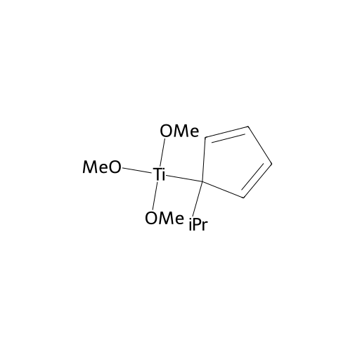 C[O][Ti]([O]C)([O]C)[C]1(C(C)C)C=CC=C1